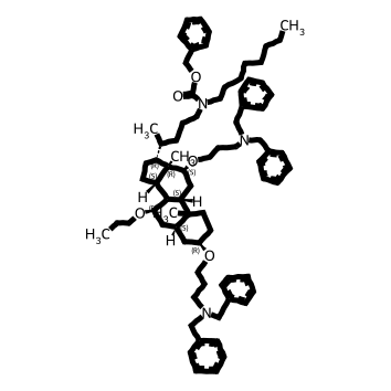 CCCCCCCCN(CCCC(C)[C@H]1CC[C@H]2C3[C@H](OCCC)C[C@@H]4C[C@H](OCCCN(Cc5ccccc5)Cc5ccccc5)CCC4(C)[C@H]3C[C@H](OCCCN(Cc3ccccc3)Cc3ccccc3)[C@]12C)C(=O)OCc1ccccc1